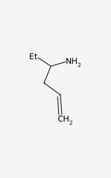 C=CCC(N)CC